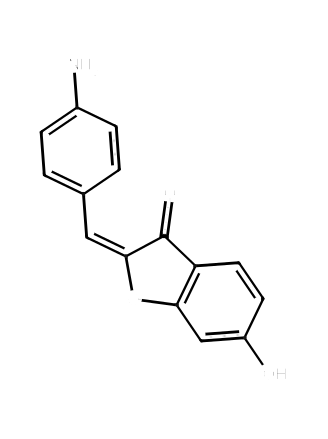 Nc1ccc(C=C2Oc3cc(O)ccc3C2=O)cc1